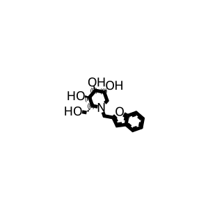 OC[C@@H]1[C@@H](O)[C@H](O)[C@@H](O)CN1Cc1cc2ccccc2o1